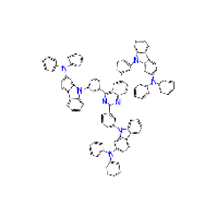 c1ccc(N(c2ccccc2)c2ccc3c4ccccc4n(-c4cccc(-c5ccc6nc(-c7cccc(-n8c9ccccc9c9ccc(N(c%10ccccc%10)c%10ccccc%10)cc98)c7)nc(-c7cccc(-n8c9ccccc9c9ccc(N(c%10ccccc%10)c%10ccccc%10)cc98)c7)c6c5)c4)c3c2)cc1